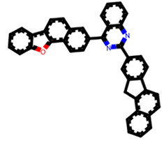 c1ccc2c3c(ccc2c1)-c1ccc(-c2nc(-c4ccc5c(ccc6c7ccccc7oc56)c4)c4ccccc4n2)cc1C3